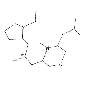 CCN1CCCC1C[C@@H](C)CC1COCC(CC(C)C)N1C